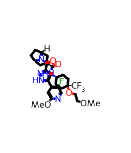 COCCO[C@]1(C(F)(F)F)CC[C@@H](NC(=O)[C@H]2CC3CC[C@H](C2)N3C(=O)c2cc(-c3cc(OC)ncc3F)[nH]n2)CC1